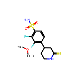 CC(C)(C)OC=O.NS(=O)(=O)c1ccc(C2CCNC(=S)C2)c(F)c1F